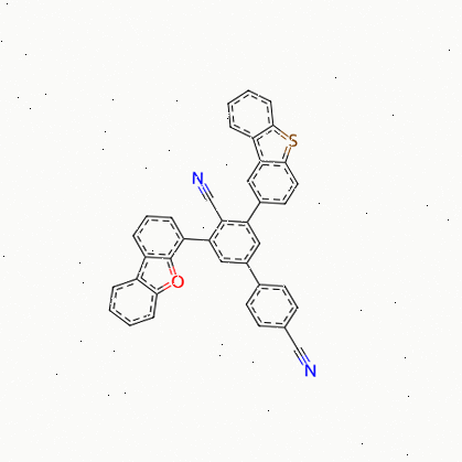 N#Cc1ccc(-c2cc(-c3ccc4sc5ccccc5c4c3)c(C#N)c(-c3cccc4c3oc3ccccc34)c2)cc1